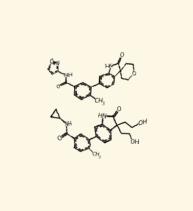 Cc1ccc(C(=O)NC2CC2)cc1-c1ccc2c(c1)NC(=O)C2(CCO)CCO.Cc1ccc(C(=O)Nc2ccon2)cc1-c1ccc2c(c1)NC(=O)C21CCOCC1